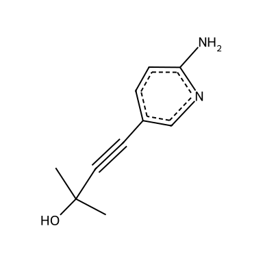 CC(C)(O)C#Cc1ccc(N)nc1